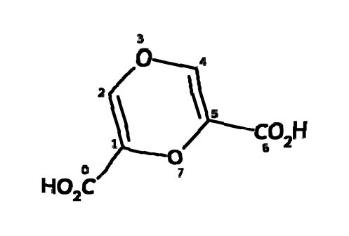 O=C(O)C1=COC=C(C(=O)O)O1